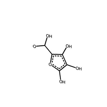 [O]C(O)c1oc(O)c(O)c1O